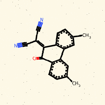 Cc1ccc2c(c1)-c1cc(C)ccc1C(=C(C#N)C#N)C2=O